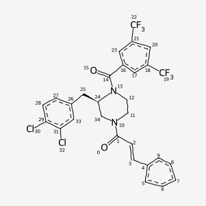 O=C(C=Cc1ccccc1)N1CCN(C(=O)c2cc(C(F)(F)F)cc(C(F)(F)F)c2)[C@H](Cc2ccc(Cl)c(Cl)c2)C1